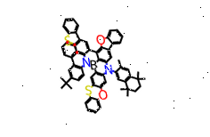 Cc1cc2c(cc1N1c3cc4c(cc3B3c5c1cc1c(oc6ccccc61)c5-c1cc5c(cc1N3c1ccc(C(C)(C)C)cc1-c1ccccc1)sc1ccccc15)Sc1ccccc1O4)C(C)(C)CCC2(C)C